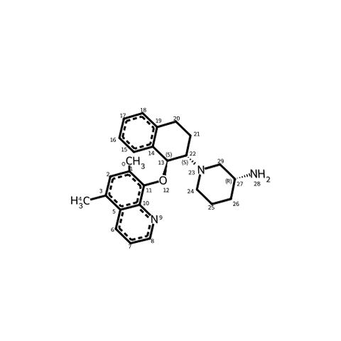 Cc1cc(C)c2cccnc2c1O[C@H]1c2ccccc2CC[C@@H]1N1CCC[C@@H](N)C1